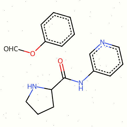 O=C(Nc1cccnc1)C1CCCN1.O=COc1ccccc1